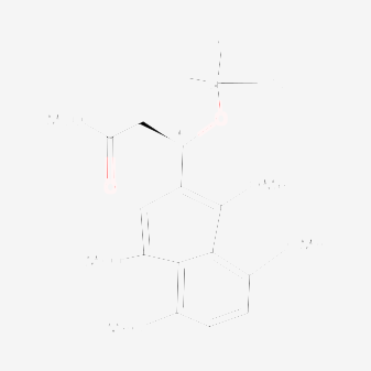 COC(=O)C[C@@H](O[Si](C)(C)C(C)(C)C)c1cc(OC)c2c(OC)ccc(OC)c2c1OC